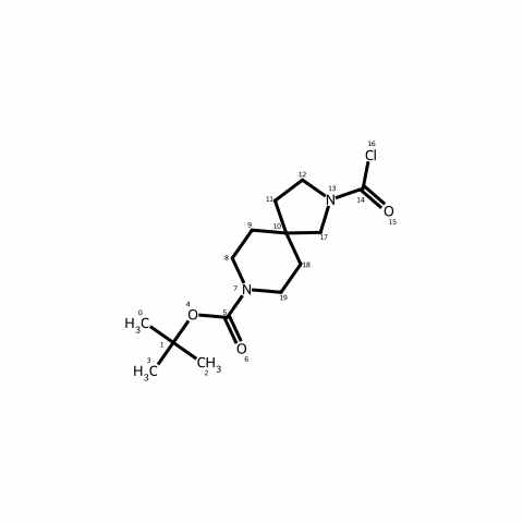 CC(C)(C)OC(=O)N1CCC2(CCN(C(=O)Cl)C2)CC1